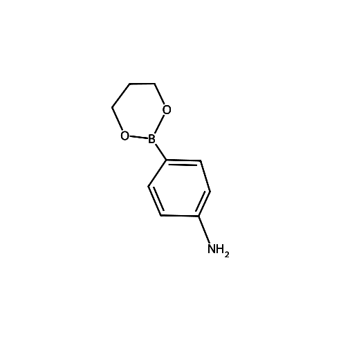 Nc1ccc(B2OCCCO2)cc1